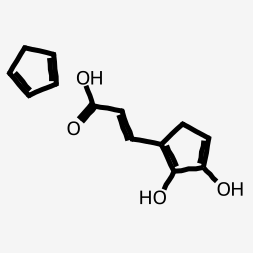 C1=CCC=C1.O=C(O)C=CC1=C(O)C(O)=CC1